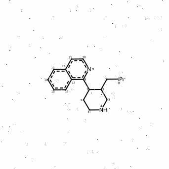 CC(C)CC1CNCCC1c1nccc2ccccc12